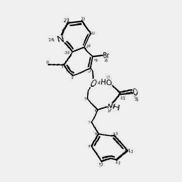 Cc1cc(OCC(Cc2ccccc2)NC(=O)O)c(Br)c2cccnc12